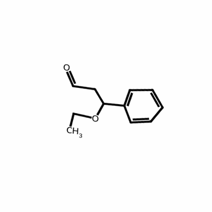 CCOC(CC=O)c1ccccc1